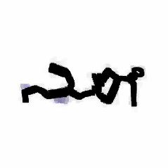 C=C/C(=C\C=C/C)Cn1cc(C(C)=O)cn1